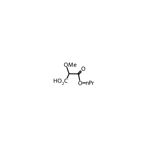 CCCOC(=O)C(OC)C(=O)O